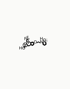 O=C(O)C[C@H]1Cc2ccc(OCCCNc3cccc[n+]3[O-])cc2CN(CC(F)(F)F)C1=O